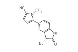 CC[C@H]1C(=O)Nc2ccc(-c3ccc(C#N)n3C)cc21